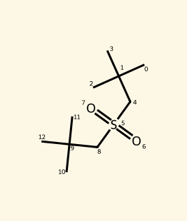 CC(C)(C)CS(=O)(=O)CC(C)(C)C